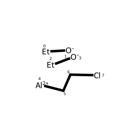 CC[O-].CC[O-].[Al+2][CH2]CCl